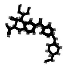 CCC(CC)N1C(=O)C(C(C)=O)Oc2cnc(Nc3ccc(CN4CCN(CC)CC4)cn3)nc21